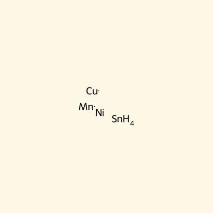 [Cu].[Mn].[Ni].[SnH4]